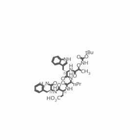 CCC[C@H](NC(=O)[C@H](Cc1c[nH]c2ccccc12)NC(=O)C(C)ONC(=O)OC(C)(C)C)C(=O)N[C@@H](CC(=O)O)C(=O)N[C@@H](Cc1ccccc1)C(N)=O